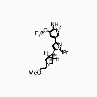 COCCN1C[C@@H]2[C@H](C1)[C@H]2c1cc(-c2cnc(N)c(OC(F)(F)F)c2)nn1C(C)C